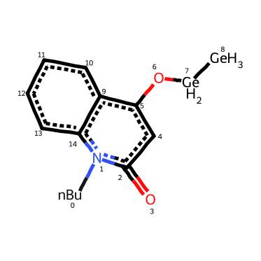 CCCCn1c(=O)cc([O][GeH2][GeH3])c2ccccc21